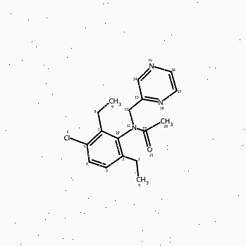 CCc1ccc(Cl)c(CC)c1N(Cc1cnccn1)C(C)=O